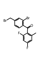 Cc1cc(F)cc(F)c1C(=O)c1ccc(CBr)cc1Br